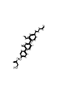 C=C(CO)OOc1ccc(-c2ccc(-c3ccc(CCCCC)cc3CC)cc2C)cc1